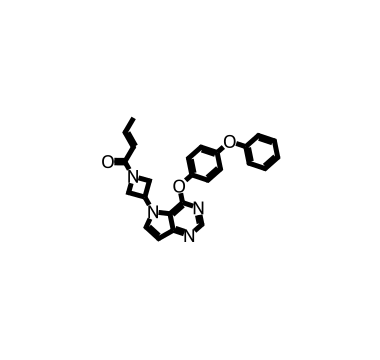 CC=CC(=O)N1CC(n2ccc3ncnc(Oc4ccc(Oc5ccccc5)cc4)c32)C1